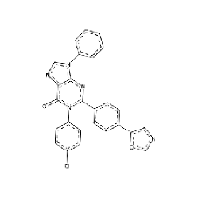 O=c1c2ncn(-c3ccccc3)c2nc(-c2ccc(-c3cnco3)cc2)n1-c1ccc(Cl)cc1